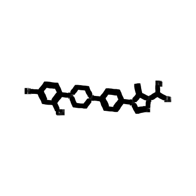 C=C1N(c2ccc(N3CCN(c4ccc(CC)cc4C#N)CC3)cc2)C=NN1C(CC)CC